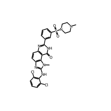 CN1CCN(S(=O)(=O)c2cccc(-c3nc4ccc5nc(Nc6c(Cl)cccc6Cl)n(C)c5c4c(=O)[nH]3)c2)CC1